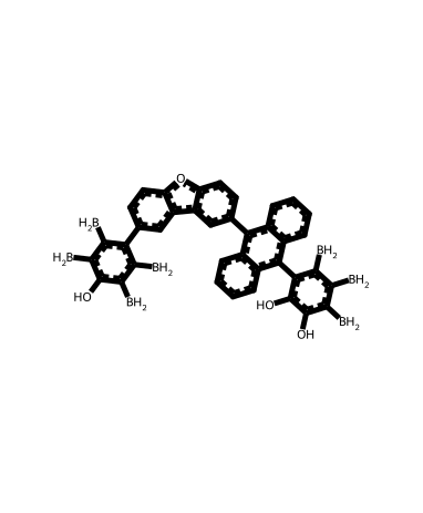 Bc1c(B)c(O)c(O)c(-c2c3ccccc3c(-c3ccc4oc5ccc(-c6c(B)c(B)c(O)c(B)c6B)cc5c4c3)c3ccccc23)c1B